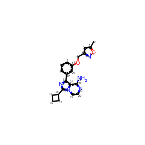 Cc1cc(COc2cccc(-c3nc(C4CCC4)n4ccnc(N)c34)c2)no1